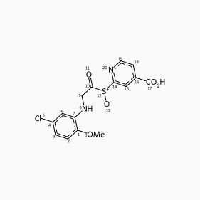 COc1ccc(Cl)cc1NCC(=O)[S+]([O-])c1cc(C(=O)O)ccn1